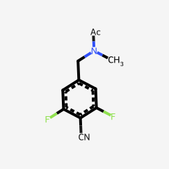 CC(=O)N(C)Cc1cc(F)c(C#N)c(F)c1